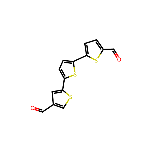 O=Cc1csc(-c2ccc(-c3ccc(C=O)s3)s2)c1